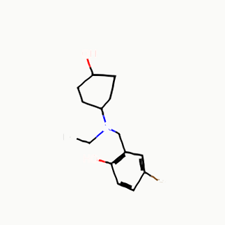 CCN(Cc1cc(Br)ccc1O)C1CCC(O)CC1